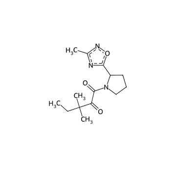 CCC(C)(C)C(=O)C(=O)N1CCCC1c1nc(C)no1